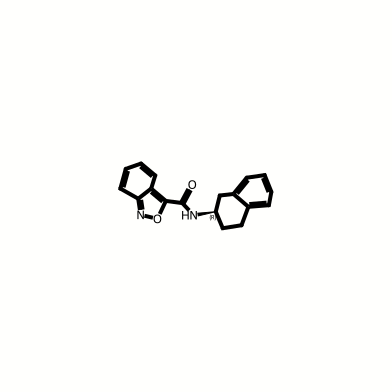 O=C(N[C@@H]1CCc2ccccc2C1)c1onc2ccccc12